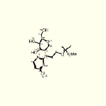 COC(C)(C)OCCN(c1nccc(C(F)(F)F)n1)[C@H]1CO[C@H](CO)[C@H](O)[C@@H]1O